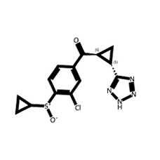 O=C(c1ccc([S+]([O-])C2CC2)c(Cl)c1)[C@H]1C[C@@H]1c1nn[nH]n1